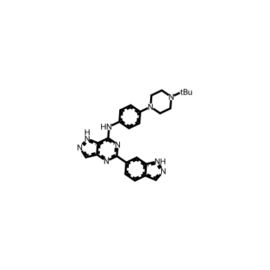 CC(C)(C)N1CCN(c2ccc(Nc3nc(-c4ccc5cn[nH]c5c4)nc4cn[nH]c34)cc2)CC1